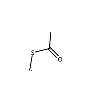 [CH2]SC(C)=O